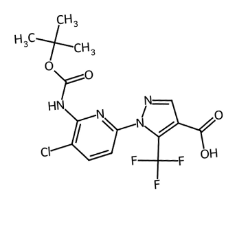 CC(C)(C)OC(=O)Nc1nc(-n2ncc(C(=O)O)c2C(F)(F)F)ccc1Cl